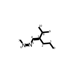 CCC/C(=C\N=N/C)C(C)C